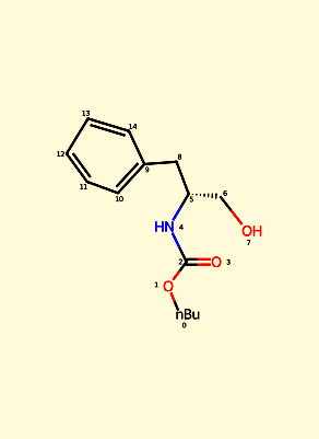 CCCCOC(=O)N[C@@H](CO)Cc1ccccc1